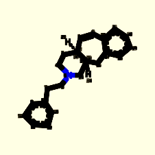 C1=C[C@@H]2CCN(CCc3ccccc3)C[C@H]2Cc2ccccc21